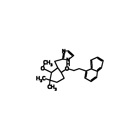 COC1C(Cc2ncc[nH]2)C(OCCc2cccc3ccccc23)CCC1(C)C